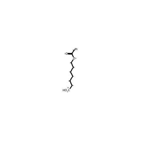 CC(C)C(=O)OCCCCCCC(=O)O